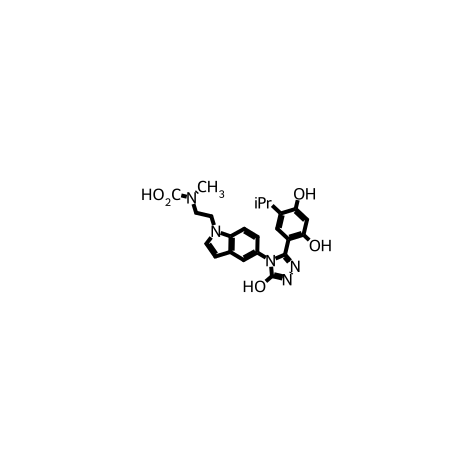 CC(C)c1cc(-c2nnc(O)n2-c2ccc3c(ccn3CCN(C)C(=O)O)c2)c(O)cc1O